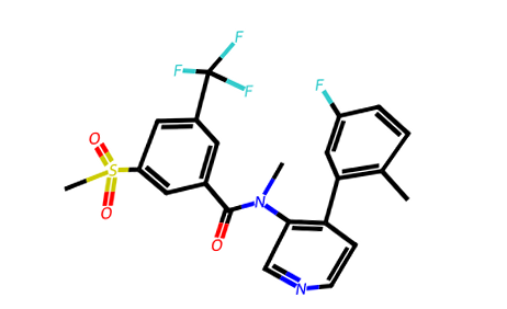 Cc1ccc(F)cc1-c1ccncc1N(C)C(=O)c1cc(C(F)(F)F)cc(S(C)(=O)=O)c1